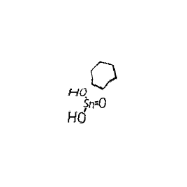 C1CCCCC1.[O]=[Sn]([OH])[OH]